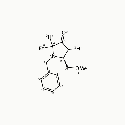 [2H]C1C(=O)C([2H])(CC)N(Cc2ccccc2)[C@@H]1COC